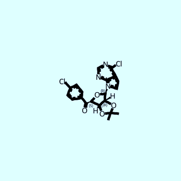 CC1(C)O[C@@H]2[C@H](O1)[C@@H](C(=O)c1ccc(Cl)cc1)O[C@H]2n1ccc2c(Cl)ncnc21